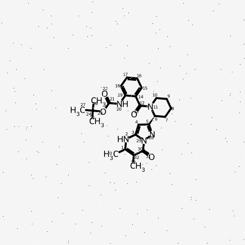 Cc1[nH]c2cc([C@@H]3CCCCN3C(=O)c3ccccc3NC(=O)OC(C)(C)C)nn2c(=O)c1C